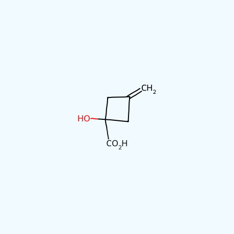 C=C1CC(O)(C(=O)O)C1